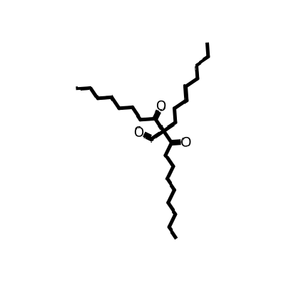 CCCCCCCCC(=O)C([C]=O)(CCCCCCCC)C(=O)CCCCCCC